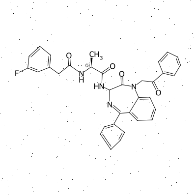 C[C@H](NC(=O)Cc1cccc(F)c1)C(=O)NC1N=C(c2ccccc2)c2ccccc2N(CC(=O)c2ccccc2)C1=O